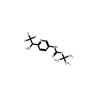 CC(C)(C)OC(=O)Nc1ccc(C(O)C(F)(F)F)nc1